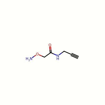 C#CCNC(=O)CON